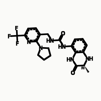 C[C@H]1Nc2cccc(NC(=O)NCc3ccc(C(F)(F)F)nc3N3CCCC3)c2NC1=O